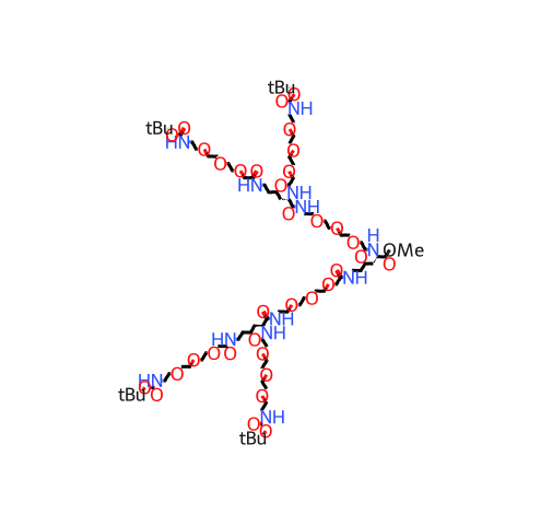 COC(=O)[C@H](CCCCNC(=O)COCCOCCOCCNC(=O)[C@H](CCCCNC(=O)COCCOCCOCCNC(=O)OC(C)(C)C)NC(=O)COCCOCCOCCNC(=O)OC(C)(C)C)NC(=O)COCCOCCOCCNC(=O)[C@H](CCCCNC(=O)COCCOCCOCCNC(=O)OC(C)(C)C)NC(=O)COCCOCCOCCNC(=O)OC(C)(C)C